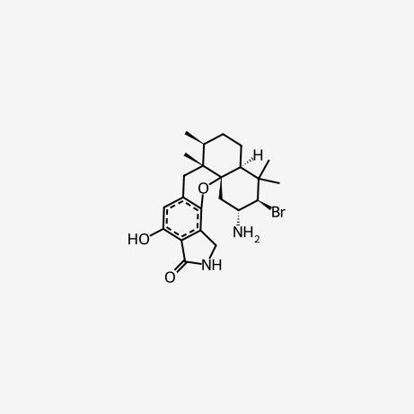 C[C@H]1CC[C@H]2C(C)(C)[C@@H](Br)[C@H](N)C[C@]23Oc2c(cc(O)c4c2CNC4=O)C[C@]13C